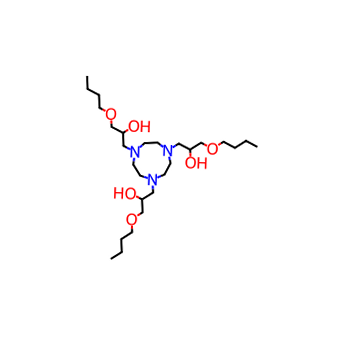 CCCCOCC(O)CN1CCN(CC(O)COCCCC)CCN(CC(O)COCCCC)CC1